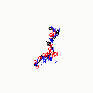 Cc1c(-c2ccc(N3CCc4cccc(C(=O)Nc5nc6ccccc6s5)c4C3)nc2C(=O)O)cnn1CC12CC3(C)CC(C)(C1)CC(OCCN(CCCP(=O)(O)O)C(=O)OCc1ccc(N(C(N)=O)[C@@H](CCCN)C(=O)NC(=O)[C@@H](NC(=O)CCCCCN4C(=O)C=CC4=O)C(C)C)cc1)(C3)C2